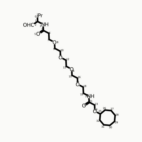 CC(C)C(C=O)NC(=O)CCOCCOCCOCCOCCNC(=O)COC1CCCCCCC1